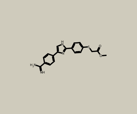 COC(=O)CSc1ccc(-c2nc(-c3ccc(C(=N)N)cc3)c[nH]2)cc1